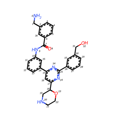 NCc1cccc(C(=O)Nc2cccc(-c3cc(C4CNCCO4)nc(-c4cccc(CO)c4)n3)c2)c1